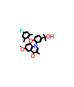 COc1ccc2c(c1)c(=O)c(C)cn2-c1cc(C(C)(C)O)ccc1Oc1c(C)cc(F)cc1C